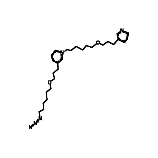 [N-]=[N+]=NCCCCCCOCCCc1ccc[n+](CCCCCCOCCCc2cccnc2)c1